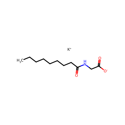 CCCCCCCCC(=O)NCC(=O)[O-].[K+]